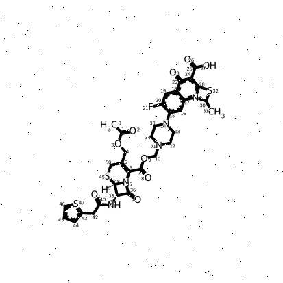 CC(=O)OCC1=C(C(=O)OCN2CCN(c3cc4c(cc3F)c(=O)c(C(=O)O)c3n4C(C)S3)CC2)N2C(=O)[C@@H](NC(=O)Cc3cccs3)[C@H]2SC1